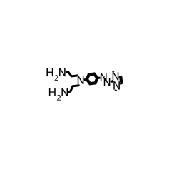 CN1C=CN(C)C1/N=N/c1ccc(N(CCCN)CCCN)cc1